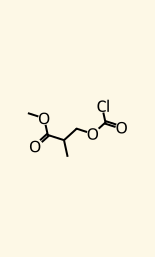 COC(=O)C(C)COC(=O)Cl